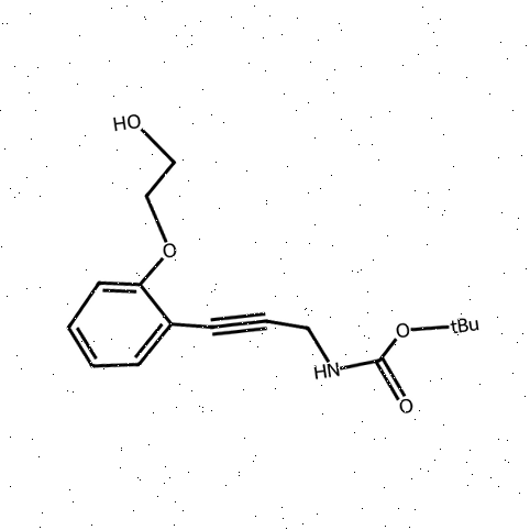 CC(C)(C)OC(=O)NCC#Cc1ccccc1OCCO